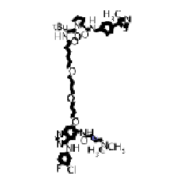 Cc1ncsc1-c1ccc(CNC(=O)[C@@H]2CCCN2C(=O)C(NC(=O)CCCCCOCCCCOCCCCOc2cc3ncnc(Nc4ccc(F)c(Cl)c4)c3cc2NC(=O)/C=C/CN(C)C)C(C)(C)C)cc1